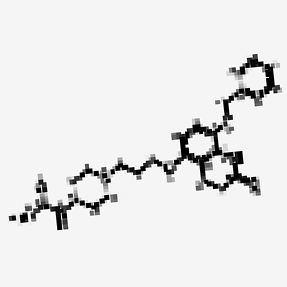 CC(C)COC(=O)NC1CCN(CCCOc2ccc(OCc3ccccc3)c3c2CCC(=O)N3)CC1